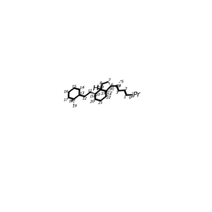 CC(C)CCC[C@@H](C)[C@H]1CC[C@H]2[C@H](CCC3CCCC[C@H]3C)CCC[C@]12C